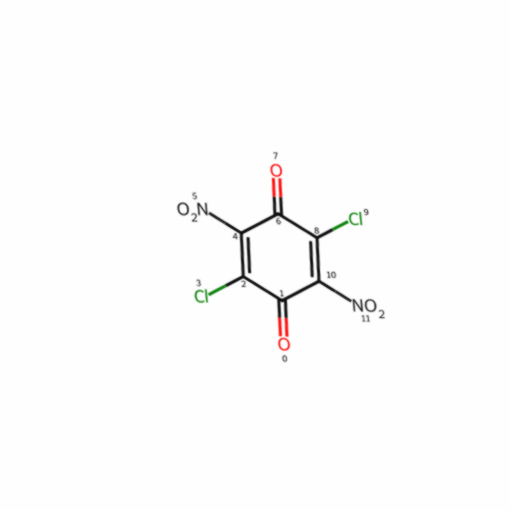 O=C1C(Cl)=C([N+](=O)[O-])C(=O)C(Cl)=C1[N+](=O)[O-]